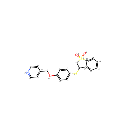 O=S1(=O)CC(Sc2ccc(OCc3ccncc3)cc2)c2ccccc21